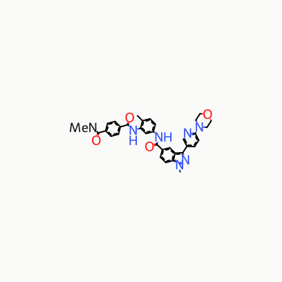 CNC(=O)c1ccc(C(=O)Nc2cc(NC(=O)c3ccc4c(c3)c(-c3ccc(N5CCOCC5)nc3)nn4C)ccc2C)cc1